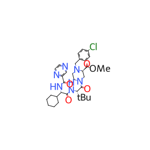 COC(=O)[C@H]1CN(C(=O)[C@@H](NC(=O)[C@@H](NC(=O)c2cnccn2)C2CCCCC2)C(C)(C)C)CCN1Cc1ccc(Cl)cc1